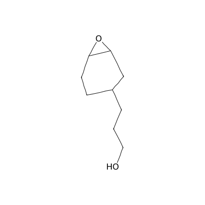 OCCCC1CCC2OC2C1